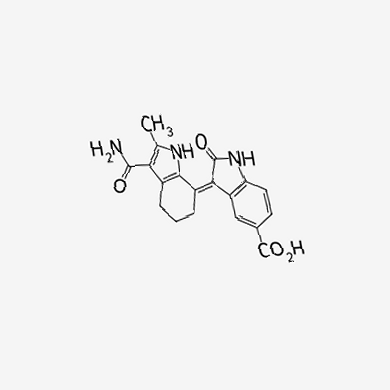 Cc1[nH]c2c(c1C(N)=O)CCC/C2=C1/C(=O)Nc2ccc(C(=O)O)cc21